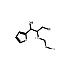 CC(C)CC(NCOC(C)(C)C)C(O)c1cccs1